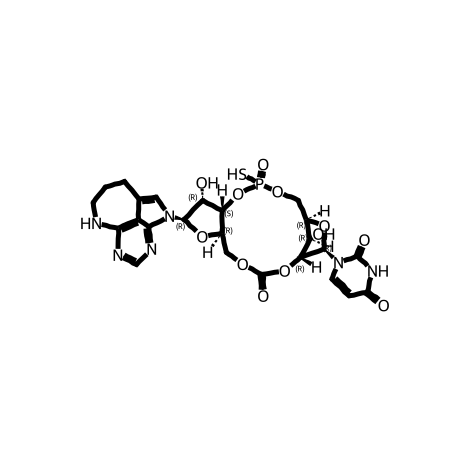 O=C1OC[C@H]2O[C@@H](n3cc4c5c(ncnc53)NCCC4)[C@H](O)[C@@H]2OP(=O)(S)OC[C@H]2O[C@@H](n3ccc(=O)[nH]c3=O)[C@H](O1)[C@@H]2O